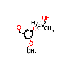 CCOc1cc(C=O)cc(OCC(C)(C)CO)c1